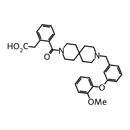 COc1ccccc1Oc1cccc(CN2CCC3(CC2)CCN(C(=O)c2ccccc2CC(=O)O)CC3)c1